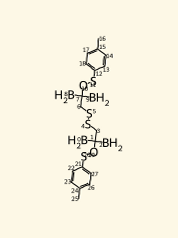 BC(B)(CSSCC(B)(B)OSc1ccc(C)cc1)OSc1ccc(C)cc1